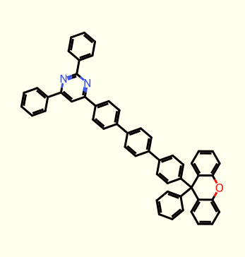 c1ccc(-c2cc(-c3ccc(-c4ccc(-c5ccc(C6(c7ccccc7)c7ccccc7Oc7ccccc76)cc5)cc4)cc3)nc(-c3ccccc3)n2)cc1